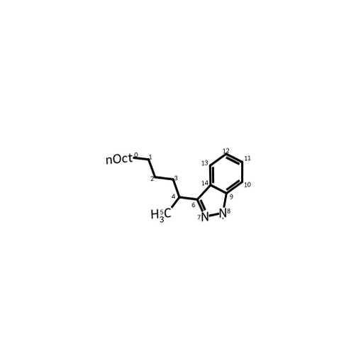 CCCCCCCCCCCC(C)C1=N[N]c2ccccc21